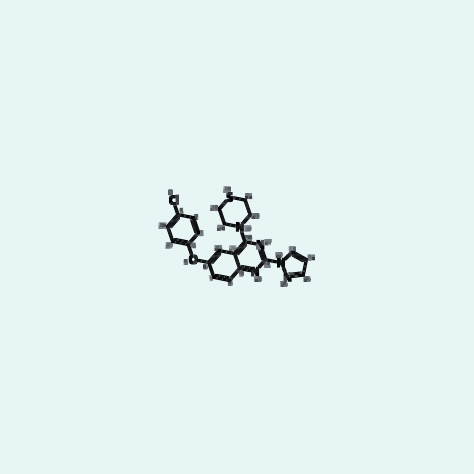 Clc1ccc(Oc2ccc3nc(-n4cccn4)nc(N4CCSCC4)c3c2)cc1